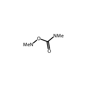 CNOC(=O)NC